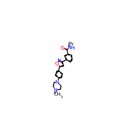 CC(C)NC(=O)c1cccc(-c2cc(-c3ccc(N4CCN(C)CC4)cc3)on2)c1